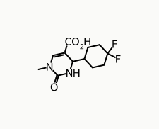 CN1C=C(C(=O)O)C(C2CCC(F)(F)CC2)NC1=O